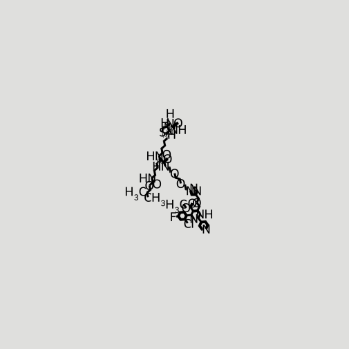 COC(=O)C1=C(COCc2cn(CCOCCOCCNC(=O)[C@@H](CCCCNC(=O)OCC(C)C)NC(=O)CCCC[C@@H]3SC[C@@H]4NC(=O)N[C@@H]43)nn2)NC(c2ccncc2)=NC1c1ccc(F)cc1Cl